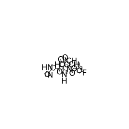 CC(=O)c1cc([C@@H]2CNC[C@H]2N(C(=O)Oc2ccc(F)cc2)C(C)C)c(C(=O)C2CCNC(c3ccccn3)C2)cc1Cl